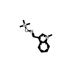 Cn1cc(C=NO[Si](C)(C)C)c2ccccc21